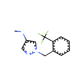 CNc1cnn(Cc2ccccc2C(F)(F)F)c1.Cl